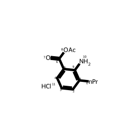 CCCc1cccc(C(=O)OC(C)=O)c1N.Cl